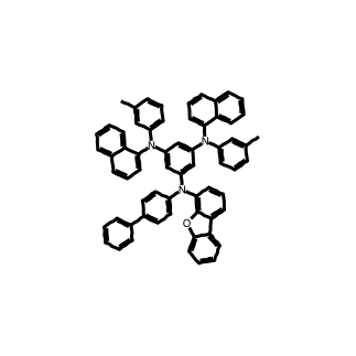 Cc1cccc(N(c2cc(N(c3cccc(C)c3)c3cccc4ccccc34)cc(N(c3ccc(-c4ccccc4)cc3)c3cccc4c3oc3ccccc34)c2)c2cccc3ccccc23)c1